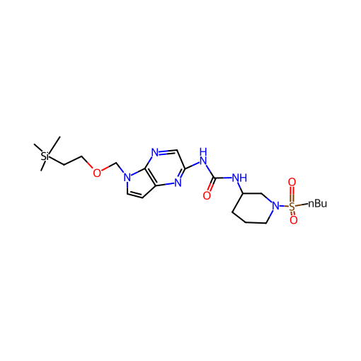 CCCCS(=O)(=O)N1CCCC(NC(=O)Nc2cnc3c(ccn3COCC[Si](C)(C)C)n2)C1